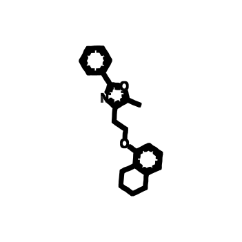 Cc1oc(-c2ccccc2)nc1CCOc1cccc2c1CCCC2